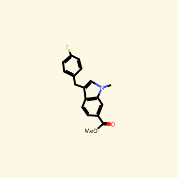 COC(=O)c1ccc2c(Cc3ccc(F)cc3)cn(C)c2c1